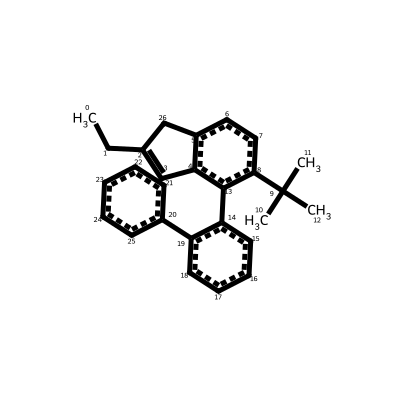 CCC1=Cc2c(ccc(C(C)(C)C)c2-c2ccccc2-c2ccccc2)[CH]1